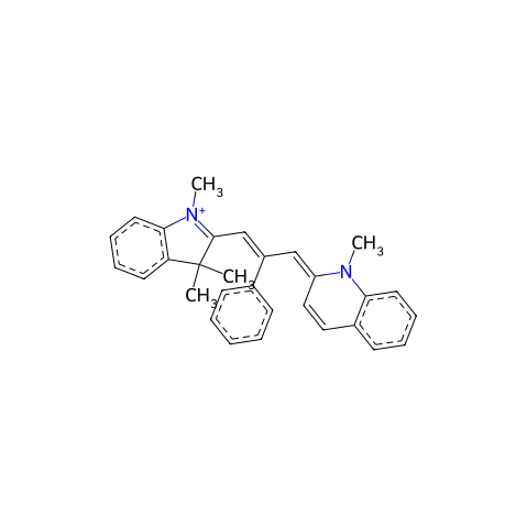 CN1/C(=C/C(=C/C2=[N+](C)c3ccccc3C2(C)C)c2ccccc2)C=Cc2ccccc21